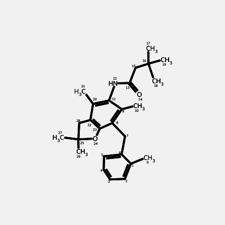 Cc1ccccc1Cc1c(C)c(NC(=O)CC(C)(C)C)c(C)c2c1OC(C)(C)C2